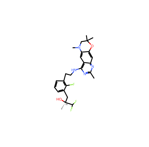 Cc1nc(NCCc2cccc(C[C@](C)(O)C(F)F)c2F)c2cc3c(cc2n1)OC(C)(C)CN3C